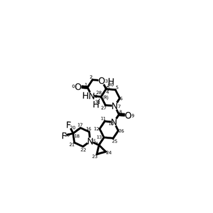 O=C1CO[C@H]2CCN(C(=O)N3CCC(C4(N5CCC(F)(F)CC5)CC4)CC3)C[C@H]2N1